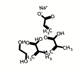 C=C(C)C(=O)O.C=C(C)C(=O)O.C=CC(=O)[O-].OCCO.[Na+]